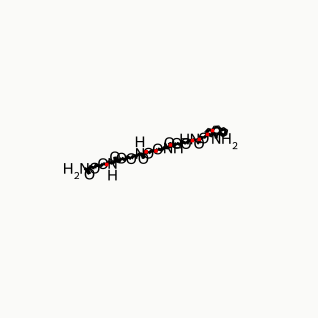 NC(=O)COCCOCCNC(=O)COCCOCCNC(=O)COCCOCCNC(=O)COCCOCCNC(=O)COc1ccc2c(c1)C(N)c1ccccc1CC2